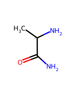 C[C](N)C(N)=O